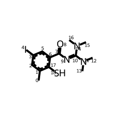 Cc1cc(I)cc(C(=O)N=C(N(C)C)N(C)C)c1S